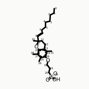 CCCCCCCC=CC1(C)CCc2c(C)c(OCCCS(=O)(=O)O)c(C)c(C)c2O1